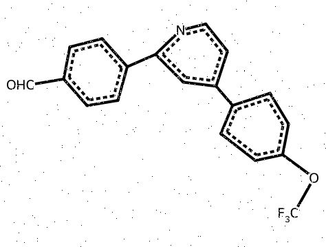 O=Cc1ccc(-c2cc(-c3ccc(OC(F)(F)F)cc3)ccn2)cc1